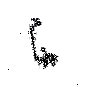 CC(=O)N1CCC[C@H]1C(=O)N[C@@H](CC(C)C)C(=O)NCC(=O)N[C@@H](CCc1ccccc1)C(=O)N[C@@H](Cc1ccc(O)cc1)C(=O)N[C@@H](CC(C)C)C(=O)Nc1cc[n+](CCCCCCCCCCCC(=O)NCCNC(=O)c2ccc(N/N=C/c3ccccc3S(=O)(=O)O)nc2)cc1